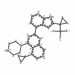 FC(F)(F)C1(c2cc3c(-c4nc(N5CCNCC5)c5c(C6CC6)cncc5n4)ccnc3[nH]2)CC1